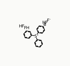 F.F.F.[B].[F-].c1ccc([S+](c2ccccc2)c2ccccc2)cc1